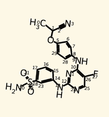 CC(C#N)Oc1ccc(Nc2nc(Nc3cccc(S(N)(=O)=O)c3)ncc2F)cc1